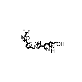 OCc1cc2cc(-c3cn(Cc4ccc(-c5nnc(C(F)F)o5)s4)nn3)cnc2[nH]1